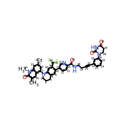 CCc1cc(N2CCCc3cc(-c4ccc(C(=O)NCCC#Cc5cccc(N6CCC(=O)NC6=O)c5)nc4)c(C(F)F)cc32)c2cc(C)c(=O)n(C)c2c1